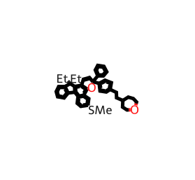 CCC1(CC)c2ccccc2-c2c1c1c(c3cc(SC)ccc23)OC(c2ccccc2)(c2ccc(CCC3CCCOCC3)cc2)C=C1